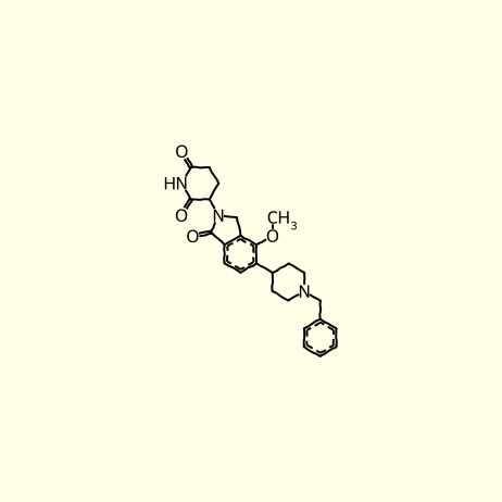 COc1c(C2CCN(Cc3ccccc3)CC2)ccc2c1CN(C1CCC(=O)NC1=O)C2=O